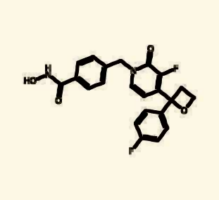 O=C(NO)c1ccc(Cn2ccc(C3(c4ccc(F)cc4)CCO3)c(F)c2=O)cc1